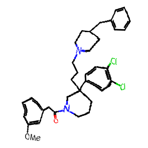 COc1cccc(CC(=O)N2CCCC(CCCN3CCC(Cc4ccccc4)CC3)(c3ccc(Cl)c(Cl)c3)C2)c1